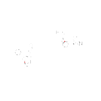 CC(CC(C(=O)OC1CC2CCC(C1)N2C)c1ccccc1)C(=O)CCCCCCCCCCC(=O)OCC(C(=O)OC1CC2CCC(C1)N2C)c1ccccc1